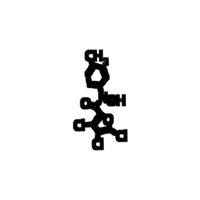 Cc1ccc(N(O)C(=O)c2oc(Cl)c(Cl)c2Cl)cc1